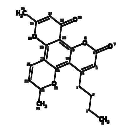 CCCCc1[c]c(=O)oc2c1c1c(c3oc(C)cc(=O)c32)C=CC(C)O1